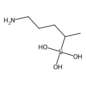 CC(CCCN)[Si](O)(O)O